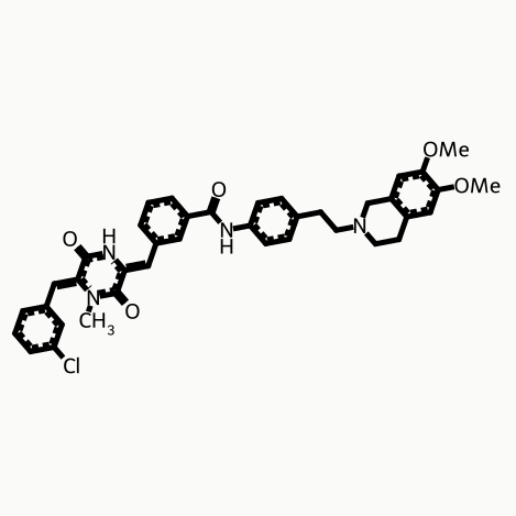 COc1cc2c(cc1OC)CN(CCc1ccc(NC(=O)c3cccc(/C=c4\[nH]c(=O)/c(=C/c5cccc(Cl)c5)n(C)c4=O)c3)cc1)CC2